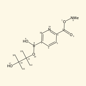 CNOC(=O)c1ccc(B(O)OC(C)(C)C(C)(C)O)cn1